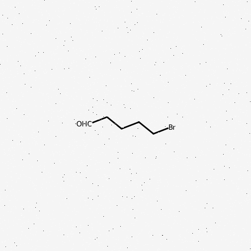 O=[C]CCCCBr